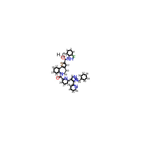 Cc1cccc(F)c1NC(=O)c1cc2c(s1)-c1ccccc1N(C(=O)c1cccc(-c3cnn(Cc4ccccc4)c3-c3ccccn3)n1)CC2